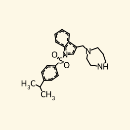 CC(C)c1ccc(S(=O)(=O)n2cc(CN3CCCNCC3)c3ccccc32)cc1